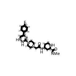 CNC(=O)[C@H]1C[C@@H](NC(=O)CN2CCN(C3=NC(c4ccc(F)cc4)=CNN3)CC2)CCN1